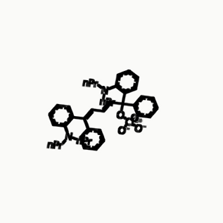 CCCN(CCC)c1ccccc1C(=CC=CC(O[Cl+3]([O-])([O-])[O-])(c1ccccc1)c1ccccc1N(CCC)CCC)c1ccccc1